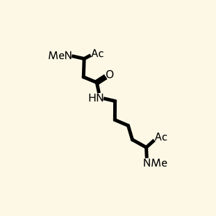 CNC(CCCCNC(=O)CC(NC)C(C)=O)C(C)=O